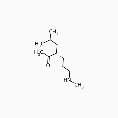 CNCCC[C@@H](CC(C)C)C(C)=O